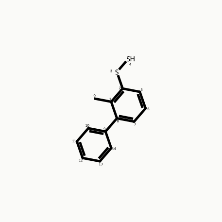 Cc1c(SS)cccc1-c1ccccc1